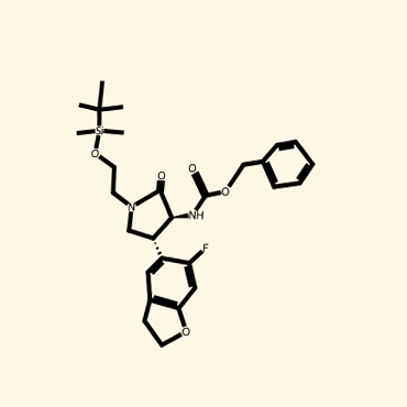 CC(C)(C)[Si](C)(C)OCCN1C[C@@H](c2cc3c(cc2F)OCC3)[C@H](NC(=O)OCc2ccccc2)C1=O